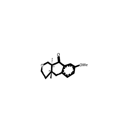 COc1ccc2c(c1)C(=O)[C@]1(C)COCC[C@@]1(C)C2